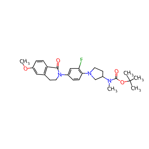 COc1ccc2c(c1)CCN(c1ccc(N3CCC(N(C)C(=O)OC(C)(C)C)C3)c(F)c1)C2=O